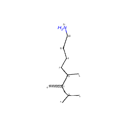 C=C(C(C)C)C(C)CCCCN